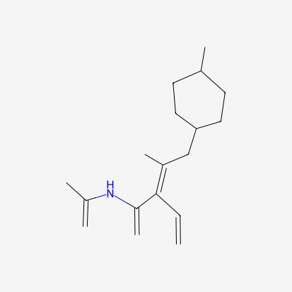 C=C/C(C(=C)NC(=C)C)=C(/C)CC1CCC(C)CC1